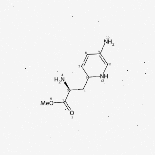 COC(=O)[C@@H](N)CC1C=CC(N)=CN1